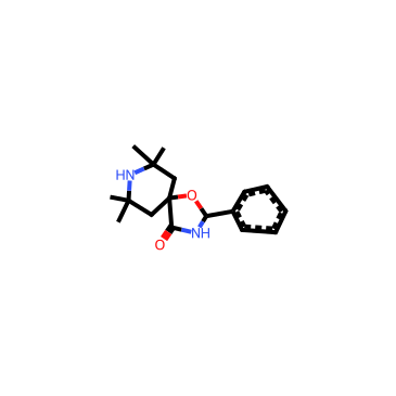 CC1(C)CC2(CC(C)(C)N1)OC(c1ccccc1)NC2=O